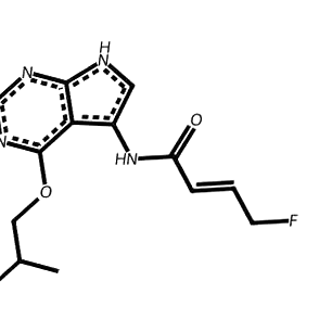 CC(C)COc1ncnc2[nH]cc(NC(=O)C=CCF)c12